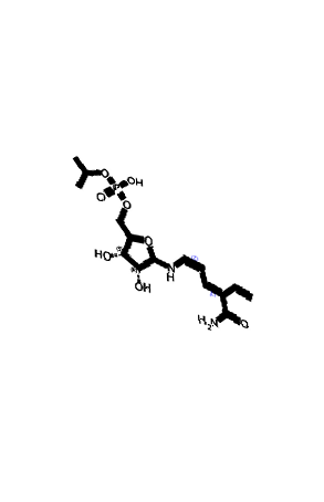 C=C/C(=C\C=C/NC1OC(COP(=O)(O)OC(C)C)[C@@H](O)[C@H]1O)C(N)=O